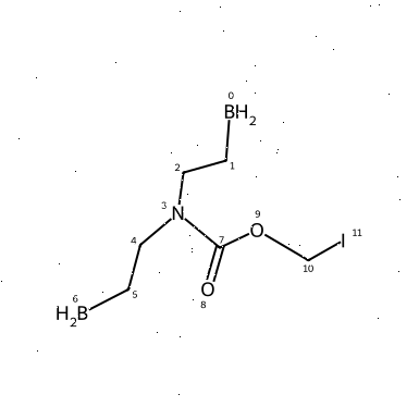 BCCN(CCB)C(=O)OCI